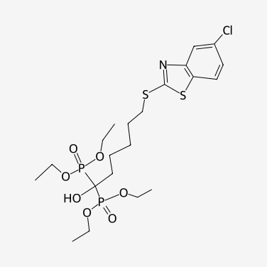 CCOP(=O)(OCC)C(O)(CCCCCSc1nc2cc(Cl)ccc2s1)P(=O)(OCC)OCC